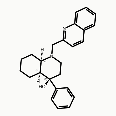 O[C@]1(c2ccccc2)CCN(Cc2ccc3ccccc3n2)[C@@H]2CCCC[C@@H]21